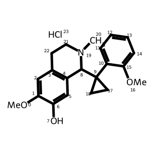 COc1cc2c(cc1O)C(C1(c3ccccc3OC)CC1)N(C)CC2.Cl